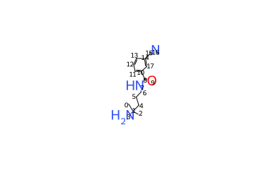 CC(C)(N)CCCNC(=O)c1cccc(C#N)c1